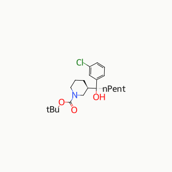 CCCCC[C@@](O)(c1cccc(Cl)c1)[C@@H]1CCCN(C(=O)OC(C)(C)C)C1